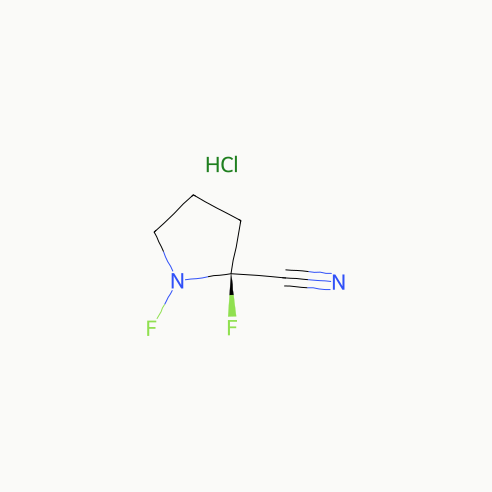 Cl.N#C[C@@]1(F)CCCN1F